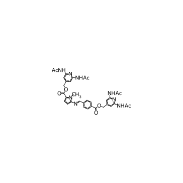 CC(=O)Nc1cc(COC(=O)c2ccc(/C=N/c3ccc(C(=O)OCc4cc(NC(C)=O)nc(NC(C)=O)c4)n3C)cc2)cc(NC(C)=O)n1